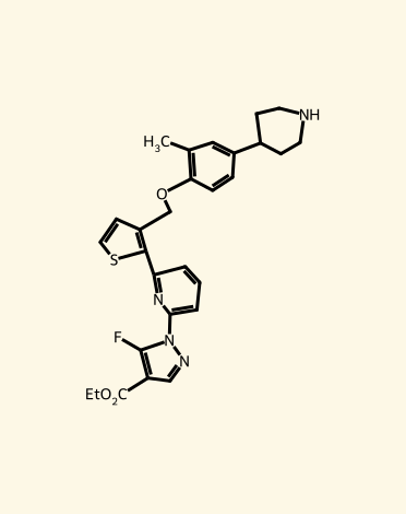 CCOC(=O)c1cnn(-c2cccc(-c3sccc3COc3ccc(C4CCNCC4)cc3C)n2)c1F